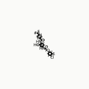 O=C(COc1ccc(Cl)c(F)c1)NC12CCC(NC(=O)c3cnc(C(F)F)cn3)(CC1)C(O)C2